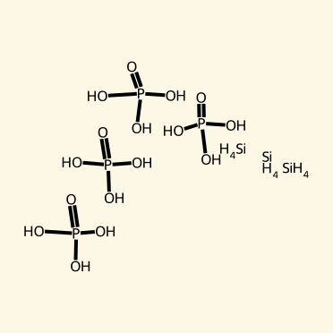 O=P(O)(O)O.O=P(O)(O)O.O=P(O)(O)O.O=P(O)(O)O.[SiH4].[SiH4].[SiH4]